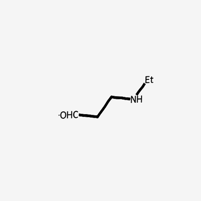 CCNCC[C]=O